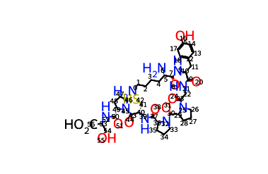 NCCCC[C@H](N)C(=O)N[C@@H](Cc1ccc(O)cc1)C(=O)NCC(=O)N1CCC[C@H]1C(=O)N1CCC[C@H]1C(=O)N[C@@H](CS)C(=O)N1CCC[C@H]1C(=O)N[C@@H](CO)C(=O)O